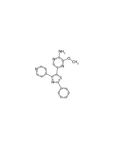 COc1nc(-c2sc(-c3ccccc3)nc2-c2ccncc2)cnc1N